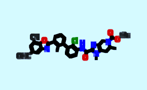 Cc1c(-c2nc3cc(C=O)cc(C#N)c3o2)cccc1-c1cccc(NC(=O)c2nc3c(n2C)CC(C)N(C(=O)OC(C)(C)C)C3)c1Cl